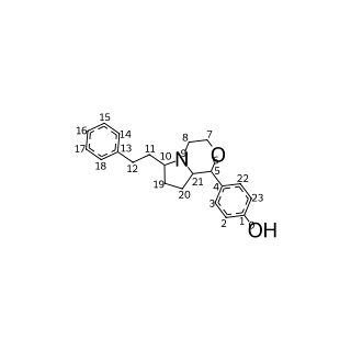 Oc1ccc(C2OCCN3C(CCc4ccccc4)CCC23)cc1